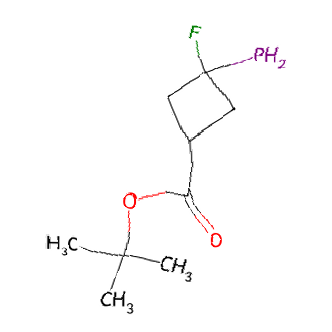 CC(C)(C)OC(=O)C1CC(F)(P)C1